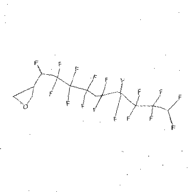 FC(F)C(F)(F)C(F)(F)C(F)(F)C(F)(F)C(F)(F)C(F)(F)C(F)(F)C(F)C1CO1